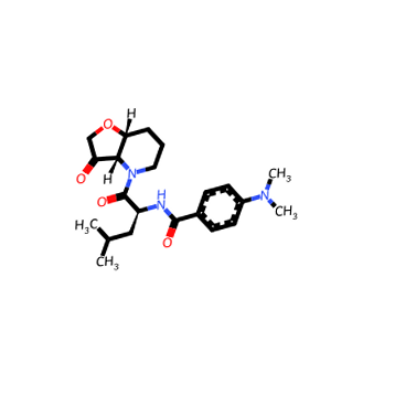 CC(C)C[C@H](NC(=O)c1ccc(N(C)C)cc1)C(=O)N1CCC[C@H]2OCC(=O)[C@H]21